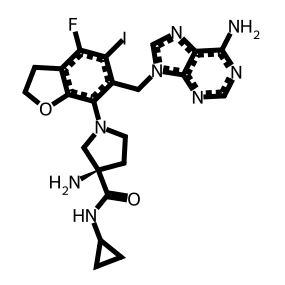 Nc1ncnc2c1ncn2Cc1c(I)c(F)c2c(c1N1CC[C@](N)(C(=O)NC3CC3)C1)OCC2